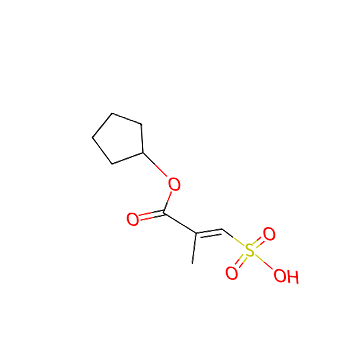 CC(=CS(=O)(=O)O)C(=O)OC1CCCC1